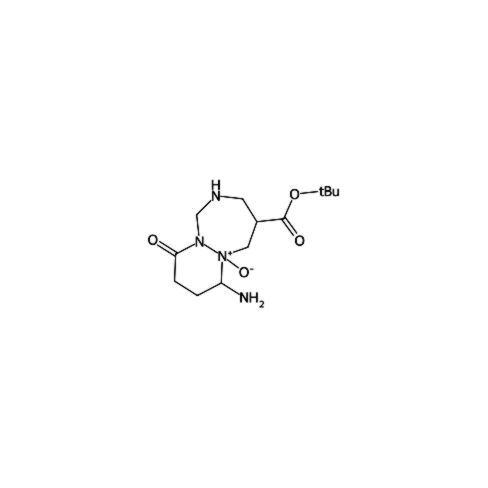 CC(C)(C)OC(=O)C1CNCN2C(=O)CCC(N)[N+]2([O-])C1